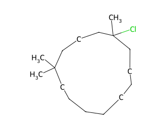 CC1(C)CCCCCCCCC(C)(Cl)CCC1